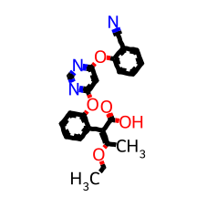 CCOC(C)=C(C(=O)O)c1ccccc1Oc1cc(Oc2ccccc2C#N)ncn1